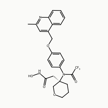 Cc1cc(COc2ccc(N(C(=O)C(F)(F)F)[C@@]3(CC(=O)NO)CCCOC3)cc2)c2ccccc2n1